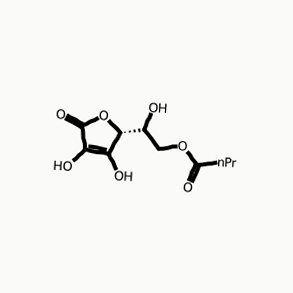 CCCC(=O)OCC(O)[C@H]1OC(=O)C(O)=C1O